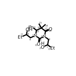 CCC(O)CN1C(=O)N(CC(O)CC)C(C(C)C)C(C)(C)C1=O